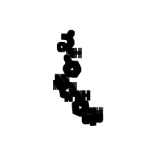 CC(C)CC(=O)NCc1cccc(-n2nnc3cnc(Nc4cccc(NS(C)(=O)=O)c4)nc32)c1